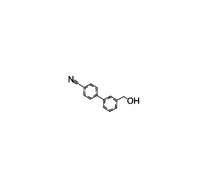 N#Cc1ccc(-c2cccc(CO)c2)cc1